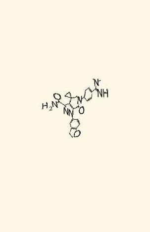 CN(C)C(=N)c1ccc(N2CC3(CC3)c3c(C(N)=O)nn(-c4ccc5c(c4)CCO5)c3C2=O)cc1